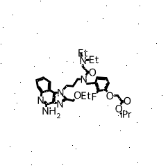 CCOCc1nc2c(N)nc3ccccc3c2n1CCCN(Cc1cccc(OCC(=O)OC(C)C)c1F)C(=O)CN(CC)CC